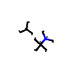 CC(C)C.CN(C)C(C)(C)C